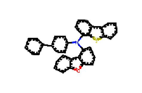 c1ccc(-c2ccc(N(c3cccc4c3sc3ccccc34)c3cccc4oc5ccccc5c34)cc2)cc1